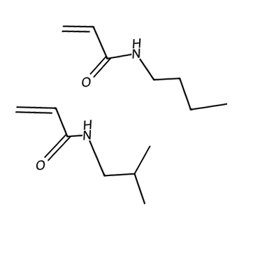 C=CC(=O)NCC(C)C.C=CC(=O)NCCCC